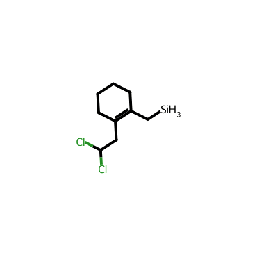 [SiH3]CC1=C(CC(Cl)Cl)CCCC1